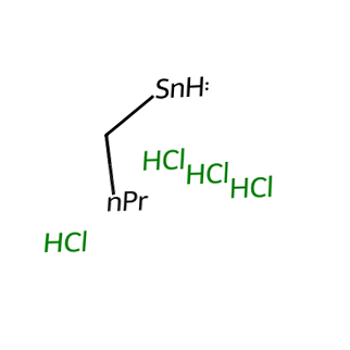 CCC[CH2][SnH].Cl.Cl.Cl.Cl